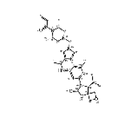 C=CC(=O)N1[C@H](C)CN(Cn2cnc([C@H](C)Nc3cc(C)nc(N4C(=O)OC5(COC5)[C@@H]4C(C)C)n3)c2)C[C@@H]1C